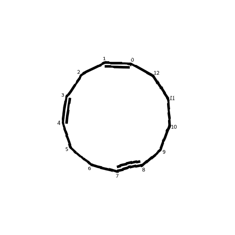 [C]1=CCC=CCCC=CCCCC1